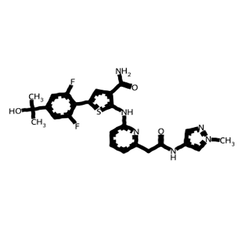 Cn1cc(NC(=O)Cc2cccc(Nc3sc(-c4c(F)cc(C(C)(C)O)cc4F)cc3C(N)=O)n2)cn1